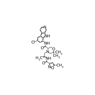 Cc1cc(C(=O)N[C@@H](C)CN2CC(C)(C)OCC2C(=O)Nc2cc(Cl)cc3c2[nH]c2cnccc23)no1